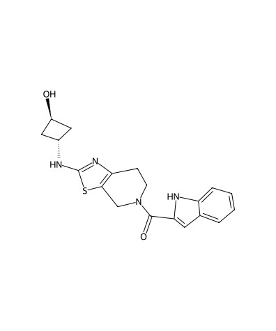 O=C(c1cc2ccccc2[nH]1)N1CCc2nc(N[C@H]3C[C@H](O)C3)sc2C1